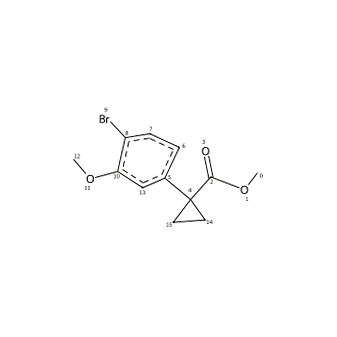 COC(=O)C1(c2ccc(Br)c(OC)c2)CC1